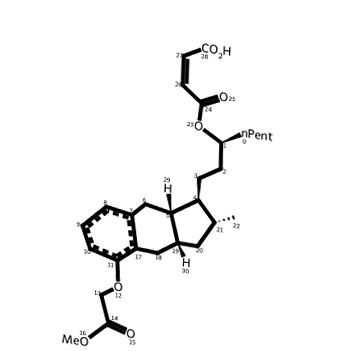 CCCCC[C@@H](CC[C@@H]1[C@H]2Cc3cccc(OCC(=O)OC)c3C[C@H]2C[C@H]1C)OC(=O)/C=C\C(=O)O